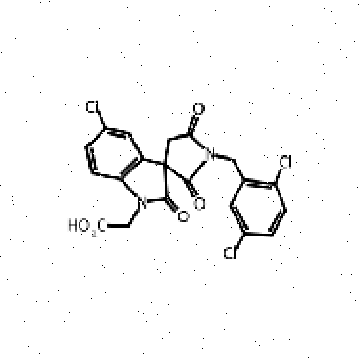 O=C(O)CN1C(=O)C2(CC(=O)N(Cc3cc(Cl)ccc3Cl)C2=O)c2cc(Cl)ccc21